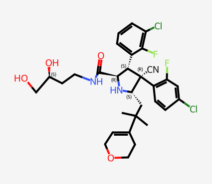 CC(C)(C[C@@H]1N[C@@H](C(=O)NCC[C@H](O)CO)[C@H](c2cccc(Cl)c2F)[C@@]1(C#N)c1ccc(Cl)cc1F)C1=CCOCC1